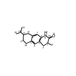 CC1Cc2cc3c(cc2NC1=O)CC(C(C)C)CC3